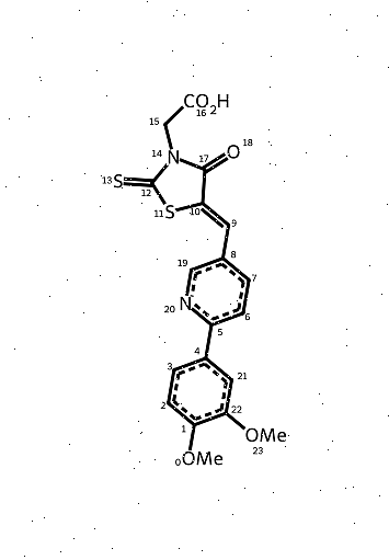 COc1ccc(-c2ccc(/C=C3\SC(=S)N(CC(=O)O)C3=O)cn2)cc1OC